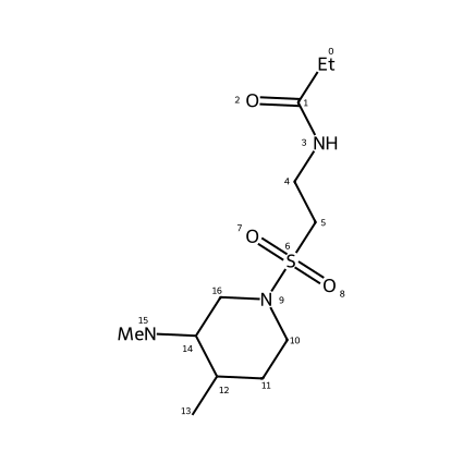 CCC(=O)NCCS(=O)(=O)N1CCC(C)C(NC)C1